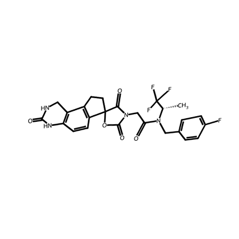 C[C@H](N(Cc1ccc(F)cc1)C(=O)CN1C(=O)OC2(CCc3c2ccc2c3CNC(=O)N2)C1=O)C(F)(F)F